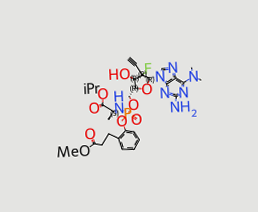 C#C[C@@]1(F)[C@H](O)[C@@H](COP(=O)(N[C@@H](C)C(=O)OC(C)C)Oc2ccccc2CCC(=O)OC)O[C@H]1n1cnc2c(N(C)C)nc(N)nc21